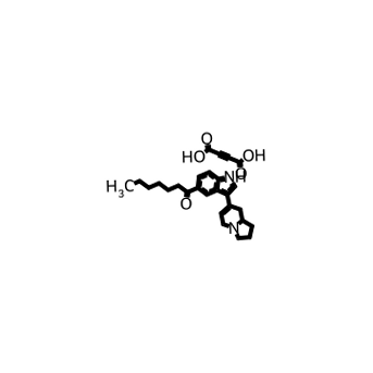 CCCCCCC(=O)c1ccc2[nH]cc(C3=CCN4CCCC4C3)c2c1.O=C(O)C#CC(=O)O